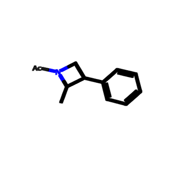 CC(=O)N1CC(c2ccccc2)C1C